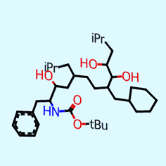 CC(C)CC(CCC(CC1CCCCC1)C(O)C(O)CC(C)C)CC(O)C(Cc1ccccc1)NC(=O)OC(C)(C)C